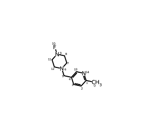 Cc1ccc(CN2CCN(F)CC2)cn1